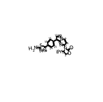 CC(C)C1COC(=O)N1c1ccn2ncc(-c3ccc(-c4nnc(N)s4)cc3)c2n1